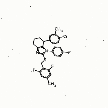 Cc1cc(F)c(CSc2nc3c(n2-c2ccc(F)cc2)C(c2ccc(Cl)c(C)c2)CCC3)c(F)c1